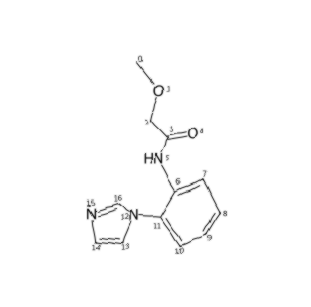 COCC(=O)Nc1ccccc1-n1ccnc1